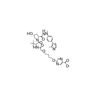 COC(=O)c1cnc(OCCCCOCC(=O)NC(C(=O)N2C[C@H](O)C[C@H]2C(=O)NN(C)c2ccc(-c3scnc3C)cc2)C(C)(C)C)cn1